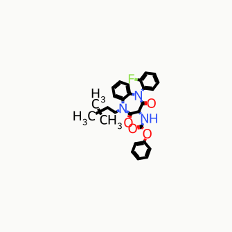 CC(C)(C)CCN1C(=O)C(NC(=O)Oc2ccccc2)C(=O)N(c2ccccc2F)c2ccccc21